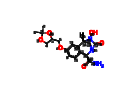 CC1(C)OCC(COc2ccc3c(c2)[C@H]2CN(C(=O)N2O)[C@H]3C(N)=O)O1